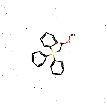 CC(C)(C)OC(=O)C[P](c1ccccc1)(c1ccccc1)c1ccccc1